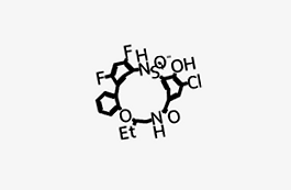 CCC1CNC(=O)c2cc(Cl)c(O)c(c2)[S+]([O-])Nc2cc(c(F)cc2F)-c2ccccc2O1